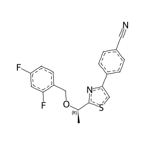 C[C@@H](OCc1ccc(F)cc1F)c1nc(-c2ccc(C#N)cc2)cs1